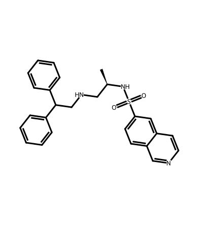 C[C@H](CNCC(c1ccccc1)c1ccccc1)NS(=O)(=O)c1ccc2cnccc2c1